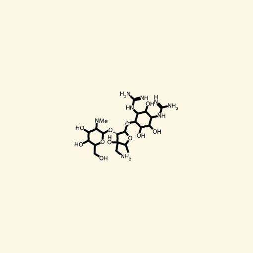 CNC1C(O[C@@H]2C(OC3C(O)C(O)C(NC(=N)N)C(O)C3NC(=N)N)OC(C)C2(O)CN)OC(CO)C(O)C1O